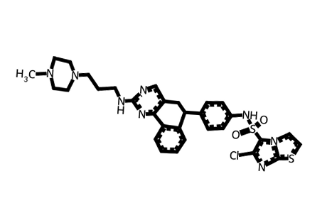 CN1CCN(CCCNc2ncc3c(n2)-c2ccccc2C(c2ccc(NS(=O)(=O)c4c(Cl)nc5sccn45)cc2)C3)CC1